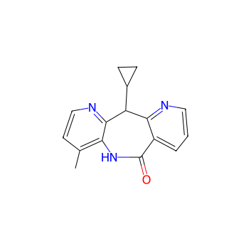 Cc1ccnc2c1NC(=O)c1cccnc1C2C1CC1